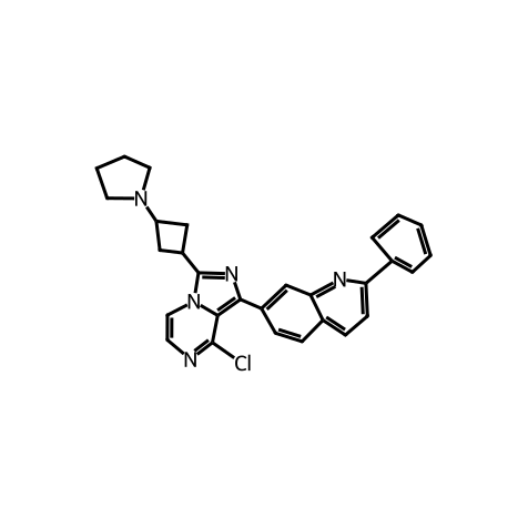 Clc1nccn2c(C3CC(N4CCCC4)C3)nc(-c3ccc4ccc(-c5ccccc5)nc4c3)c12